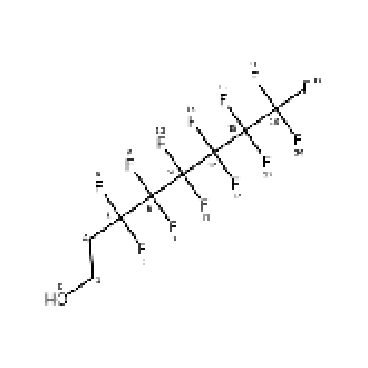 OCCC(F)(F)C(F)(F)C(F)(F)C(F)(F)C(F)(F)C(F)(F)F